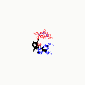 Nc1nc(N)c2ncn([C@@H]3O[C@@]4(COP(=O)(O)OP(=O)(O)OP(=O)(O)O)CC[C@@H]3[C@@H]4O)c2n1